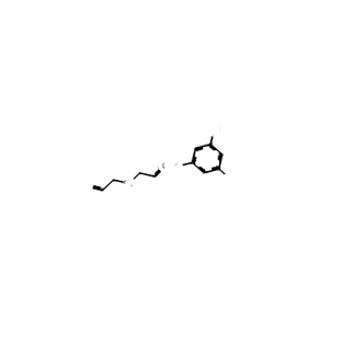 C=CCNCC=C.Cc1cc(C)cc(C)c1